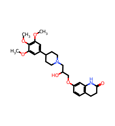 COc1cc(C2CCN(CC(O)COc3ccc4c(c3)NC(=O)CC4)CC2)cc(OC)c1OC